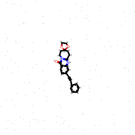 O=c1c2ccc(C#Cc3ccccc3)cc2nc2n1CCC1(CC2)OCCO1